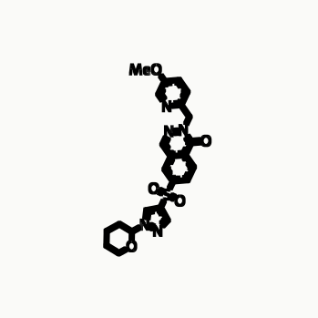 COc1ccc(Cn2ncc3cc(S(=O)(=O)c4cnn(C5CCCCO5)c4)ccc3c2=O)nc1